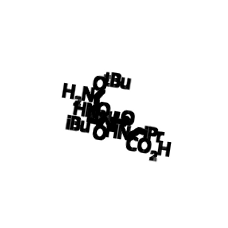 CC[C@H](C)[C@H](NC(=O)[C@@H](N)COC(C)(C)C)C(=O)NC(C)(C)C(=O)N[C@@H](CC(C)C)C(=O)O